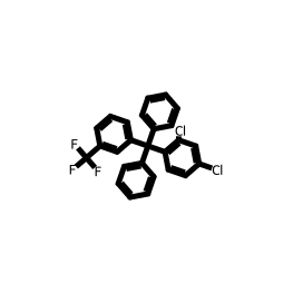 FC(F)(F)c1cccc(C(c2ccccc2)(c2ccccc2)c2ccc(Cl)cc2Cl)c1